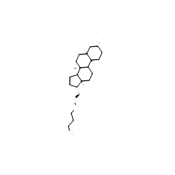 C[C@]12CC[C@H](O)C[C@H]1CC[C@@H]1[C@@H]2CC[C@]2(C)[C@@H](/C=N/OCCCN)CC[C@@H]12